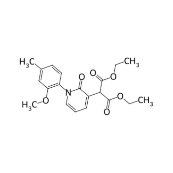 CCOC(=O)C(C(=O)OCC)c1cccn(-c2ccc(C)cc2OC)c1=O